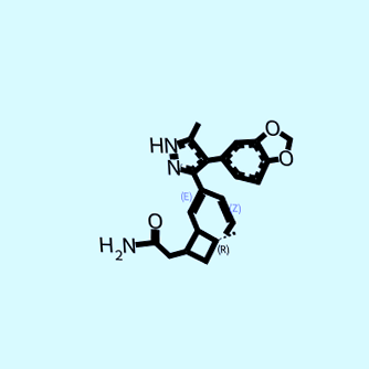 C/C=C\C(=C/C1C(CC(N)=O)C[C@H]1C)c1n[nH]c(C)c1-c1ccc2c(c1)OCO2